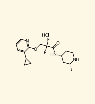 C[C@@H]1C[C@H](NC(=O)C(F)(F)COc2ncccc2C2CC2)CCN1.Cl